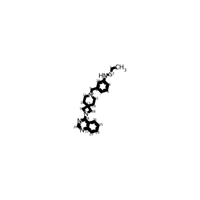 CCSNc1cccc(CN2CCC3(CC2)CN(c2ncnc4ccccc24)C3)c1